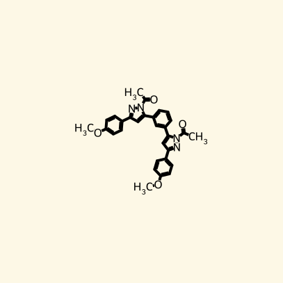 COc1ccc(-c2cc(-c3cccc(-c4cc(-c5ccc(OC)cc5)nn4C(C)=O)c3)n(C(C)=O)n2)cc1